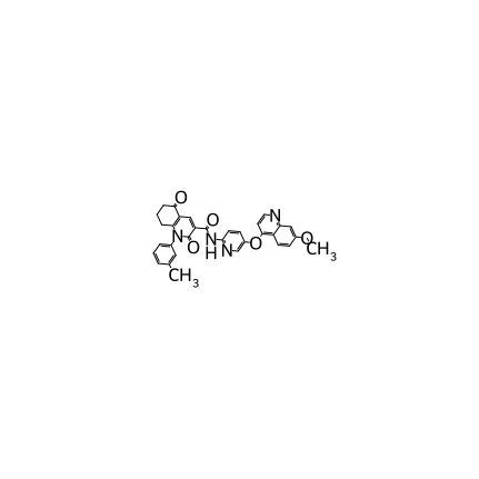 COc1ccc2c(Oc3ccc(NC(=O)c4cc5c(n(-c6cccc(C)c6)c4=O)CCCC5=O)nc3)ccnc2c1